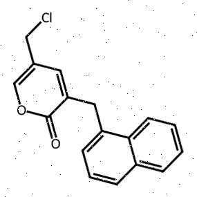 O=c1occ(CCl)cc1Cc1cccc2ccccc12